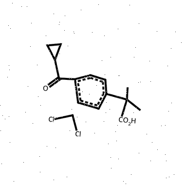 CC(C)(C(=O)O)c1ccc(C(=O)C2CC2)cc1.ClCCl